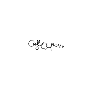 CON=C(C)c1ccc(S(=O)(=O)N2CCCCC2)cc1